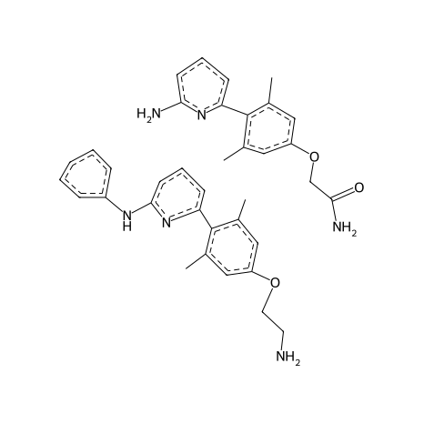 Cc1cc(OCC(N)=O)cc(C)c1-c1cccc(N)n1.Cc1cc(OCCN)cc(C)c1-c1cccc(Nc2ccccc2)n1